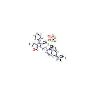 Cc1c(C=O)c(/C=C/c2ccc3cc(N(C)C)ccc3[n+]2C)c(C)n1-c1ccccc1.O=S(=O)([O-])C(F)(F)F